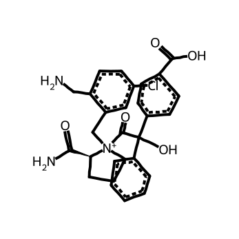 NCc1ccc(Cl)cc1C[N+]1(C(=O)C(O)(c2ccccc2)c2ccc(C(=O)O)cc2)CCC[C@H]1C(N)=O